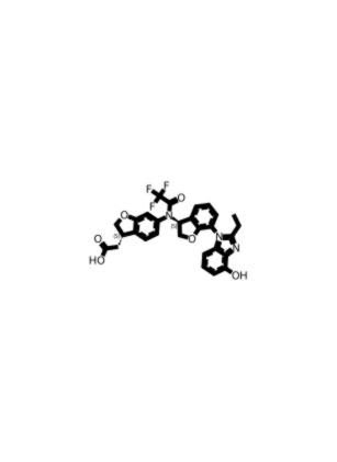 CCc1nc2c(O)cccc2n1-c1cccc2c1OC[C@H]2N(C(=O)C(F)(F)F)c1ccc2c(c1)OC[C@H]2CC(=O)O